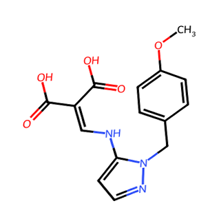 COc1ccc(Cn2nccc2NC=C(C(=O)O)C(=O)O)cc1